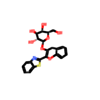 OC[C@H]1O[C@@H](OC2=C(c3nc4ccccc4s3)Oc3ccccc3C2)[C@H](O)[C@@H](O)[C@H]1O